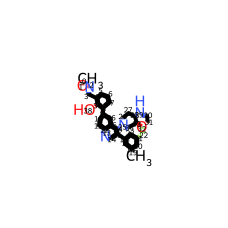 CON=Cc1cccc(-c2ccc3ncc(-c4cc(C)cc(F)c4)c(N4CCC5NCCOC5C4)c3c2)c1O